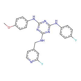 COc1ccc(Nc2nc(NCc3ccnc(F)c3)nc(Nc3ccc(F)cc3)n2)cc1